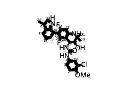 COc1ccc(NC(=O)N[C@H]2c3c(cc(F)c(-c4cccc5c(C)c[nH]c45)c3F)NC(C)(C)C2O)cc1Cl